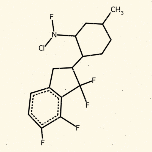 CC1CCC(C2Cc3ccc(F)c(F)c3C2(F)F)C(N(F)Cl)C1